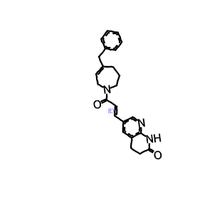 O=C1CCc2cc(/C=C/C(=O)N3CC=C(Cc4ccccc4)CCC3)cnc2N1